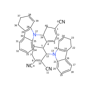 N#CC1=CC=C(C2CCC(C#N)=C(C#N)C2n2c3c(c4ccccc42)CCC=C3)C(n2c3c(c4ccccc42)CCC=C3)C1